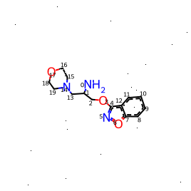 NC(COc1noc2ccccc12)CN1CCOCC1